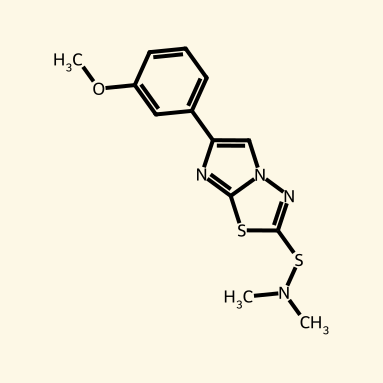 COc1cccc(-c2cn3nc(SN(C)C)sc3n2)c1